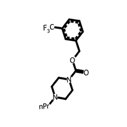 [CH2]CCN1CCN(C(=O)OCc2cccc(C(F)(F)F)c2)CC1